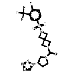 O=C(N1CC[C@H](n2cnnn2)C1)N1CC2(C1)CN(S(=O)(=O)c1ccc(F)c(C(F)(F)F)c1)C2